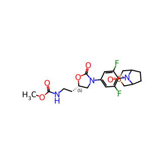 COC(=O)NCC[C@H]1CN(c2cc(F)c(N3C4CCC3C[S+]([O-])C4)c(F)c2)C(=O)O1